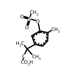 Cc1ccc(C(C)(C)CC(=O)O)cc1OS(C)(=O)=O